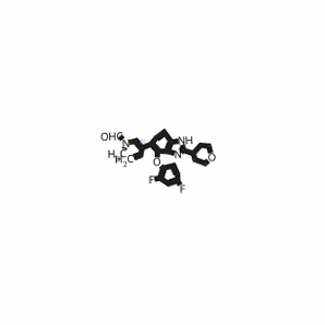 C=C/C(=C\N(C)C=O)c1ccc2[nH]c(C3CCOCC3)nc2c1Oc1ccc(F)cc1F